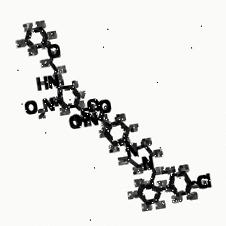 O=C(NS(=O)(=O)c1ccc(NCCOc2ccccc2)c([N+](=O)[O-])c1)c1ccc(N2CCN(Cc3ccccc3-c3ccc(Cl)cc3)CC2)cc1